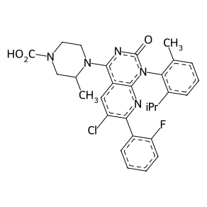 Cc1cccc(C(C)C)c1-n1c(=O)nc(N2CCN(C(=O)O)CC2C)c2cc(Cl)c(-c3ccccc3F)nc21